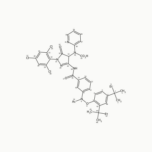 CCC(C)(C)c1ccc(ON(C(C)=O)c2cccc(C(=O)NC3=NN(c4c(Cl)cc(Cl)cc4Cl)C(=O)C3N(C(=O)O)c3ccccn3)c2)c(C(C)(C)CC)c1